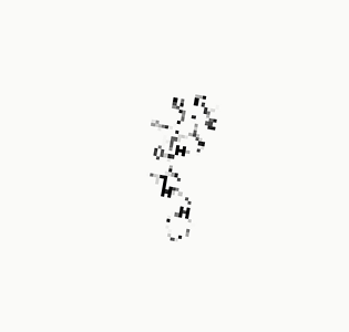 CC(C)[C@H]1C(=O)N(S(C)(=O)=O)C2=CCN(C(=O)c3cc(CN4CCCCC4)nn3C)[C@@H]21